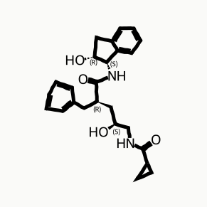 O=C(NC[C@@H](O)C[C@@H](Cc1ccccc1)C(=O)N[C@H]1c2ccccc2C[C@H]1O)C1CC1